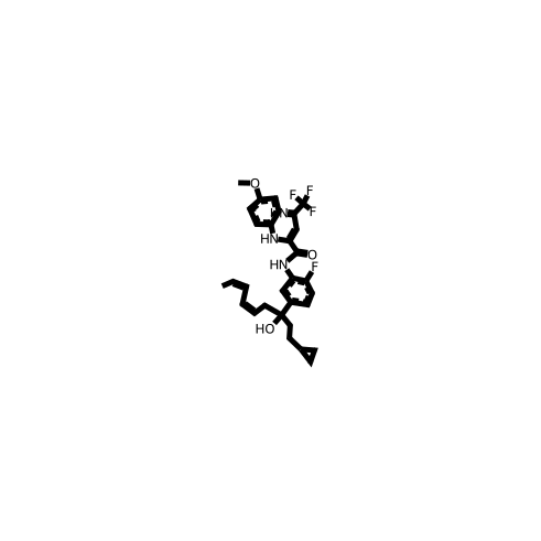 C/C=C\C=C/CC(O)(CCC1CC1)c1ccc(F)c(NC(=O)/C(=C/C(=N)C(F)(F)F)Nc2ccc(OC)cc2)c1